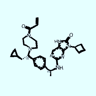 C=CC(=O)N1CCN([C@@H](CC2CC2)c2ccc([C@H](C)Nc3ncc4[nH]c(=O)n(C5CCC5)c4n3)cc2)CC1